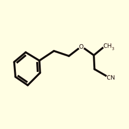 CC(CC#N)OCCc1ccccc1